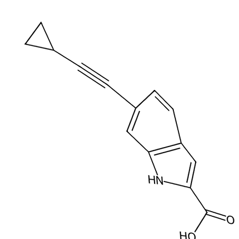 O=C(O)c1cc2ccc(C#CC3CC3)cc2[nH]1